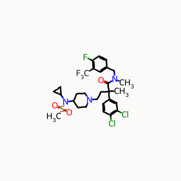 CN(Cc1ccc(F)c(C(F)(F)F)c1)C(=O)C(C)(CCN1CCC(N(C2CC2)S(C)(=O)=O)CC1)c1ccc(Cl)c(Cl)c1